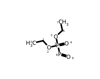 CCOP(=O)(OCC)P=O